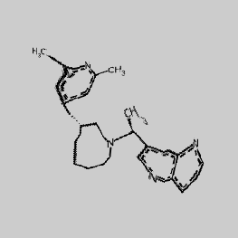 Cc1cc(C[C@H]2CCCN([C@@H](C)c3cnc4cccnc4c3)C2)cc(C)n1